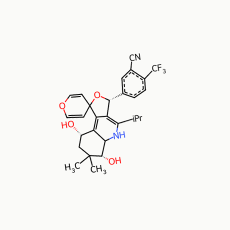 CC(C)C1=C2C(=C3C(N1)[C@H](O)C(C)(C)C[C@@H]3O)C1(C=COC=C1)O[C@@H]2c1ccc(C(F)(F)F)c(C#N)c1